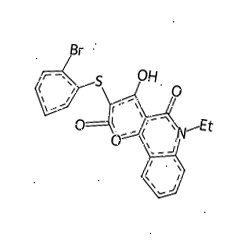 CCn1c(=O)c2c(O)c(Sc3ccccc3Br)c(=O)oc2c2ccccc21